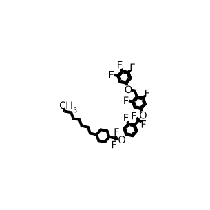 CCCCCCCCC1CCC(C(F)(F)Oc2ccc(C(F)(F)Oc3cc(F)c(COc4cc(F)c(F)c(F)c4)c(F)c3)c(F)c2)CC1